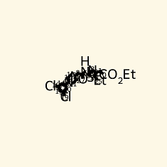 CCOC(=O)Cc1nc(NC(=O)CN2CCN(c3cc(Cl)cc(Cl)c3)CC2)sc1CC